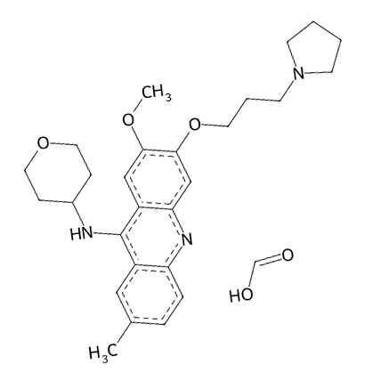 COc1cc2c(NC3CCOCC3)c3cc(C)ccc3nc2cc1OCCCN1CCCC1.O=CO